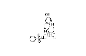 C[C@]12CC[C@@H]3c4ccc(O)cc4CC[C@H]3[C@@H]1[C@@H](CNS(=O)(=O)c1ccccc1)CC2=O